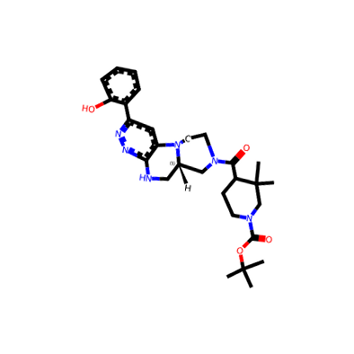 CC(C)(C)OC(=O)N1CCC(C(=O)N2CCN3c4cc(-c5ccccc5O)nnc4NC[C@H]3C2)C(C)(C)C1